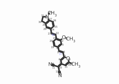 COc1cc(/C=C/C2=CC(=C(C#N)C#N)C=C(C)O2)ccc1/C=C/c1ccc2c(c1)CCN2C